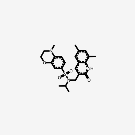 Cc1cc(C)c2[nH]c(=O)c(CN(C(C)C)S(=O)(=O)c3ccc4c(c3)OCCN4C)cc2c1